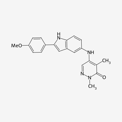 COc1ccc(-c2cc3cc(Nc4cnn(C)c(=O)c4C)ccc3[nH]2)cc1